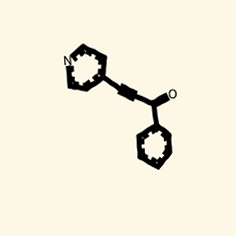 O=C(C#Cc1ccncc1)c1ccccc1